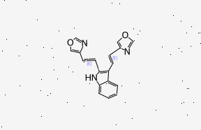 C(=C\c1[nH]c2ccccc2c1/C=C/c1cocn1)/c1cocn1